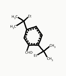 CCC(C)(C)c1ccc(C(C)(C)CC)c([C]=O)c1